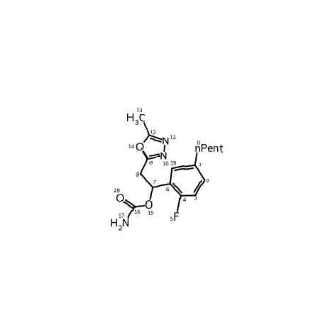 CCCCCc1ccc(F)c(C(Cc2nnc(C)o2)OC(N)=O)c1